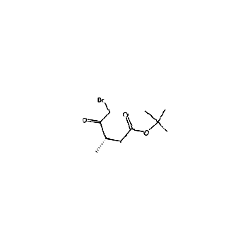 C[C@@H](CC(=O)OC(C)(C)C)C(=O)CBr